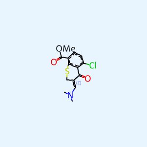 COC(=O)c1ccc(Cl)c2c1SC/C(=C\N(C)C)C2=O